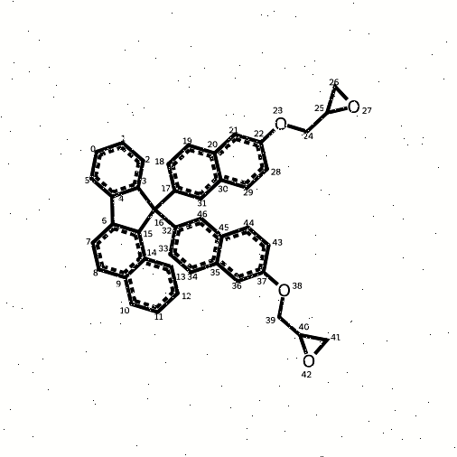 c1ccc2c(c1)-c1ccc3ccccc3c1C2(c1ccc2cc(OCC3CO3)ccc2c1)c1ccc2cc(OCC3CO3)ccc2c1